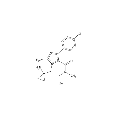 CN(CC(C)(C)C)C(=O)c1c(-c2ccc(Cl)cc2)cc(C(F)(F)F)n1CC1(N)CC1